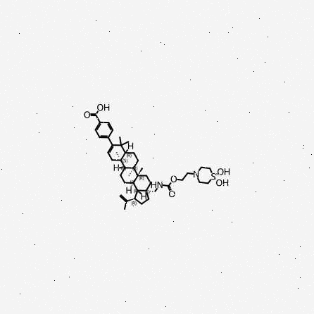 C=C(C)[C@@H]1CC[C@]2(CNC(=O)OCCN3CCS(O)(O)CC3)CC[C@]3(C)[C@H](CC[C@@H]4[C@@]5(C)CC=C(c6ccc(C(=O)O)cc6)C(C)(C)[C@@H]5CC[C@]43C)[C@@H]12